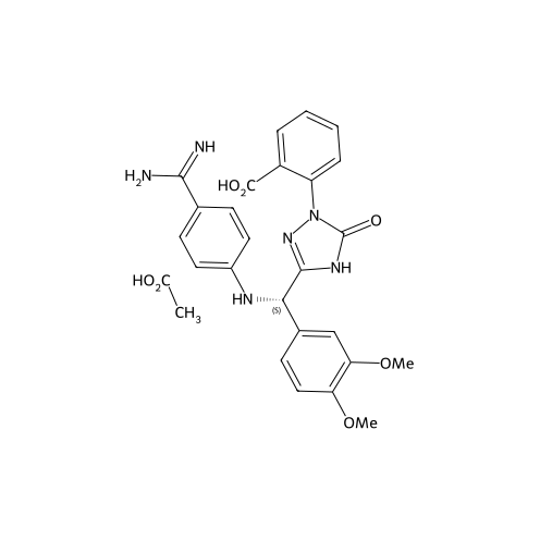 CC(=O)O.COc1ccc([C@H](Nc2ccc(C(=N)N)cc2)c2nn(-c3ccccc3C(=O)O)c(=O)[nH]2)cc1OC